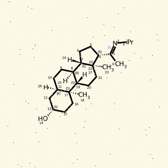 C/C(=N\C(C)C)[C@H]1CC[C@H]2[C@@H]3CC[C@@H]4C[C@@H](O)CC[C@]4(C)[C@H]3CC[C@]12C